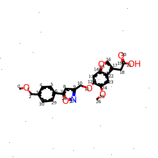 COCc1ccc(-c2cc(COc3cc4occ(CC(=O)O)c4cc3OC)no2)cc1